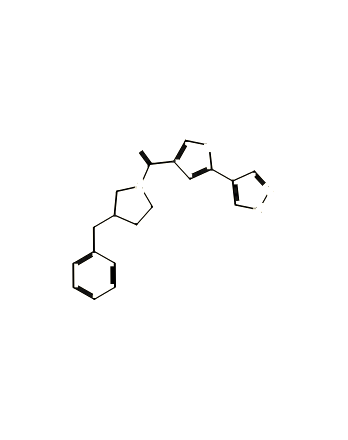 O=C(c1csc(-c2cn[nH]c2)c1)N1CCC(Cc2ccccc2)C1